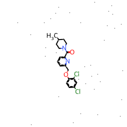 CC1CCN(C(=O)c2cccc(COc3ccc(Cl)cc3Cl)n2)CC1